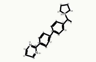 CC(c1ccc(-c2ccc(-c3ncccn3)cc2)cc1)N1CCCC1